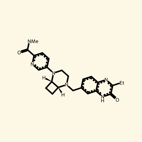 CCc1nc2ccc(CN3CCN(c4ccc(C(=O)NC)nc4)[C@H]4CC[C@H]43)cc2[nH]c1=O